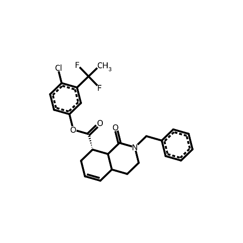 CC(F)(F)c1cc(OC(=O)[C@H]2CC=CC3CCN(Cc4ccccc4)C(=O)C32)ccc1Cl